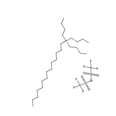 CCCCCCCCCCCCCC[P+](CCCC)(CCCC)CCCC.O=S(=O)([N-]S(=O)(=O)C(F)(F)F)C(F)(F)F